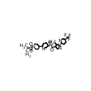 Cc1c(C(=O)Nc2ccc(C3=CCN(S(=O)(=O)C(C)C)CC3)nc2)cnn1-c1ccc(C(F)(F)F)cn1